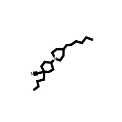 CCCCCCC1CCN(C2CCC(C#N)(CCCC)CC2)CC1